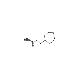 CCCCNCCC1CCCCCC1